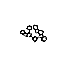 c1ccc(-c2nc(-c3cccc(-n4c5ccccc5c5ccc6c7ccccc7sc6c54)c3)nc3oc4ccccc4c23)cc1